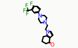 O=C1CCCc2c1ccn2CCN1CCN(c2ccc(F)c(C(F)(F)F)c2)CC1